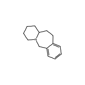 c1ccc2c(c1)CCC1CCCCN1C2